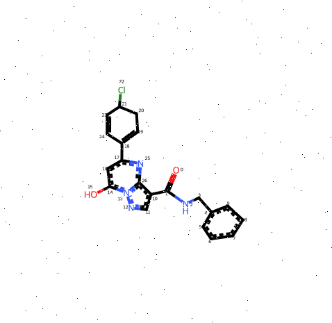 O=C(NCc1ccccc1)c1cnn2c(O)cc(C3=CCC(Cl)C=C3)nc12